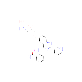 NC(=O)c1ccccc1Nc1nc(-c2cccnc2)nc2ccc(OCC3CNC(O)O3)cc12